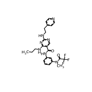 CCCNc1nc(NCCc2ccncc2)ncc1C(=O)Nc1cccc(N(C)C(=O)C(F)(F)F)c1